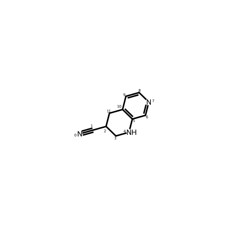 N#CC1CNc2cnccc2C1